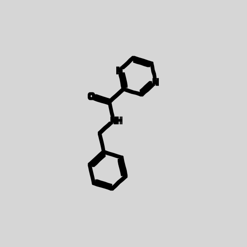 O=C(NCc1ccccc1)c1cnccn1